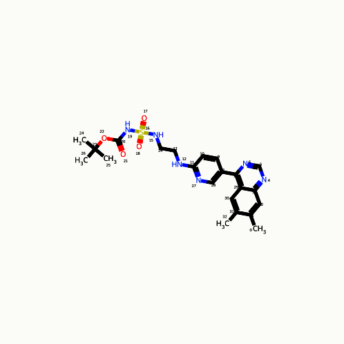 Cc1cc2ncnc(-c3ccc(NCCNS(=O)(=O)NC(=O)OC(C)(C)C)nc3)c2cc1C